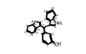 Oc1cccc(C(c2c[nH]c3ccccc23)c2c[nH]c3ccccc23)c1